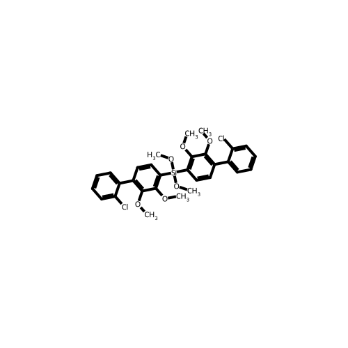 COc1c(-c2ccccc2Cl)ccc([Si](OC)(OC)c2ccc(-c3ccccc3Cl)c(OC)c2OC)c1OC